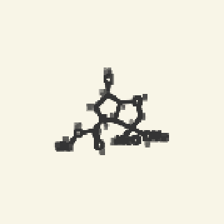 COC1(OC)COC2C1N(C(=O)OC(C)(C)C)C[C@H]2Cl